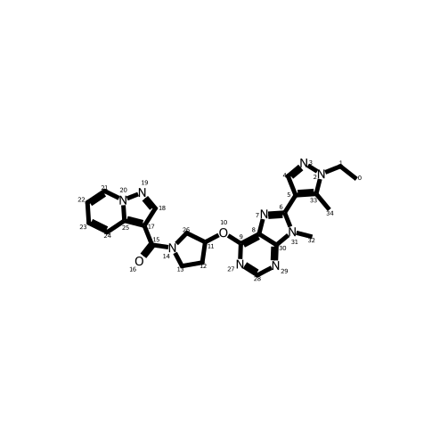 CCn1ncc(-c2nc3c(OC4CCN(C(=O)c5cnn6ccccc56)C4)ncnc3n2C)c1C